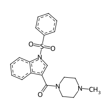 CN1CCN(C(=O)c2cn(S(=O)(=O)c3ccccc3)c3ccccc23)CC1